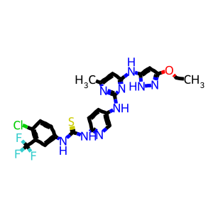 CCOc1cc(Nc2cc(C)nc(Nc3ccc(NC(=S)Nc4ccc(Cl)c(C(F)(F)F)c4)nc3)n2)[nH]n1